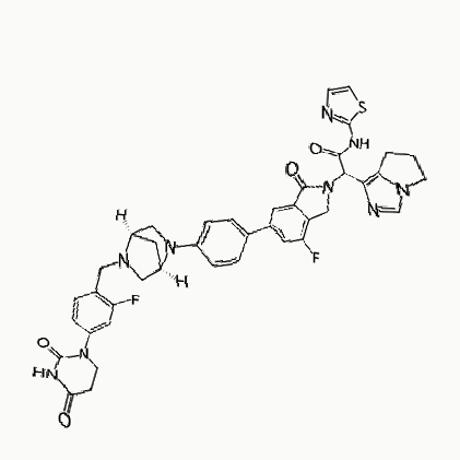 O=C1CCN(c2ccc(CN3C[C@H]4C[C@@H]3CN4c3ccc(-c4cc(F)c5c(c4)C(=O)N(C(C(=O)Nc4nccs4)c4ncn6c4CCC6)C5)cc3)c(F)c2)C(=O)N1